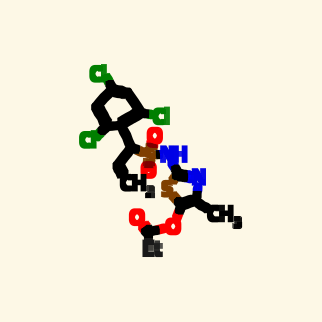 C=CC(c1c(Cl)cc(Cl)cc1Cl)S(=O)(=O)Nc1nc(C)c(OC(=O)CC)s1